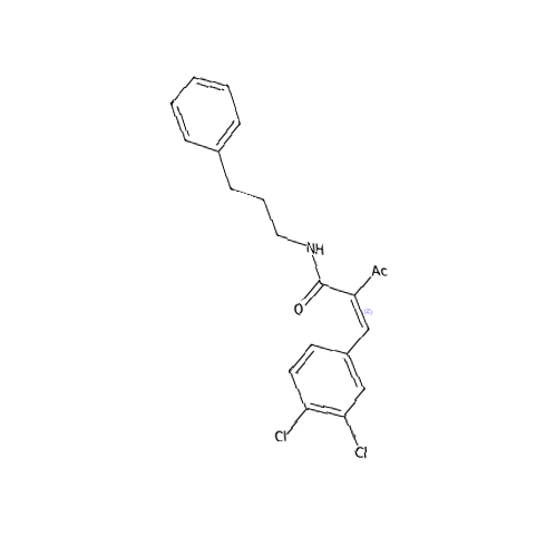 CC(=O)/C(=C/c1ccc(Cl)c(Cl)c1)C(=O)NCCCc1ccccc1